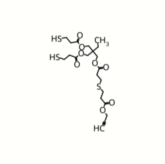 C#CCOC(=O)CCSCCC(=O)OCC(CC)(COC(=O)CCS)COC(=O)CCS